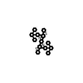 c1ccc(-c2cccc(-c3ccccc3)c2-c2ccc3c4c5c(cc6c7cc8c(cc7n(c3c2)c64)c2cc3sc4ccccc4c3c3c4ccc(-c6c(-c7ccccc7)cccc6-c6ccccc6)cc4n8c23)sc2ccccc25)cc1